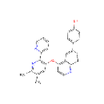 Cc1cc(Oc2ccnc3ccc(-c4ccc(O)cc4)cc23)c(-c2ccccn2)nc1C